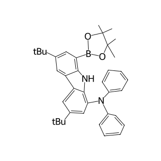 CC(C)(C)c1cc(B2OC(C)(C)C(C)(C)O2)c2[nH]c3c(N(c4ccccc4)c4ccccc4)cc(C(C)(C)C)cc3c2c1